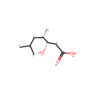 CC(C)C[C@H](C)[C@@H](O)CC(=O)O